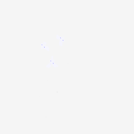 c1ccc(-c2cccc(-c3nc4ccc5ccccc5c4nc3-n3c4cccc5c4c4c6c(ccc7ccc8cccc-5c8c76)ccc43)c2)cc1